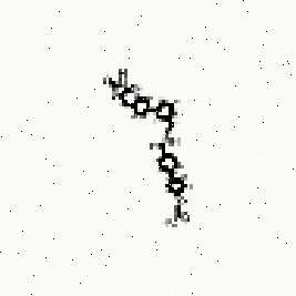 O=C(O)COc1ccc(-c2ccc(C(=O)NCCc3cccc(-c4ccc(CC5SC(=O)NC5=O)cc4)c3)cc2)cc1